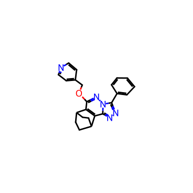 c1ccc(-c2nnc3c4c(c(OCc5ccncc5)nn23)C2CCC4CC2)cc1